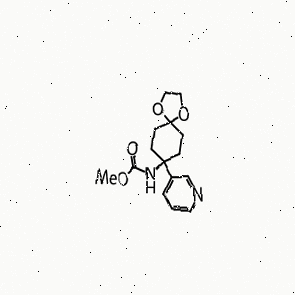 COC(=O)NC1(c2cccnc2)CCC2(CC1)OCCO2